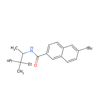 CCCC(C)(CC)C(C)NC(=O)c1ccc2cc(C(C)(C)C)ccc2c1